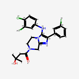 CC(C)(O)CC(=O)N1CCn2c(nc(-c3cccc(F)c3)c2Nc2ccc(Cl)c(F)c2)C1